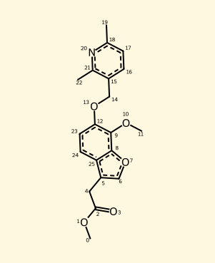 COC(=O)Cc1coc2c(OC)c(OCc3ccc(C)nc3C)ccc12